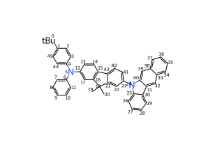 CC(C)(C)c1ccc(N(c2ccccc2)c2ccc3c(c2)C(C)(C)c2cc(-n4c5ccccc5c5cc6ccccc6cc54)ccc2-3)cc1